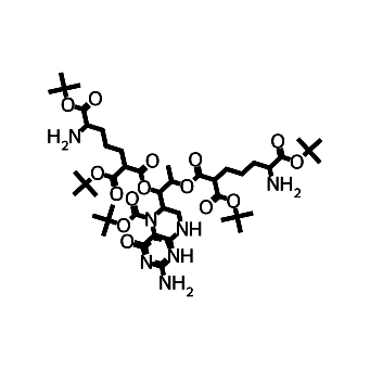 CC(OC(=O)C(CCCC(N)C(=O)OC(C)(C)C)C(=O)OC(C)(C)C)C(OC(=O)C(CCCC(N)C(=O)OC(C)(C)C)C(=O)OC(C)(C)C)C1CNc2[nH]c(N)nc(=O)c2N1C(=O)OC(C)(C)C